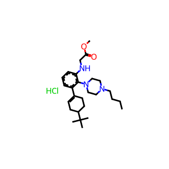 CCCCN1CCN(c2c(NCC(=O)OC)cccc2C2=CCC(C(C)(C)C)CC2)CC1.Cl